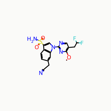 COc1nc(-n2cc(S(N)(=O)=O)c3ccc(CC#N)cc32)ncc1CC(F)F